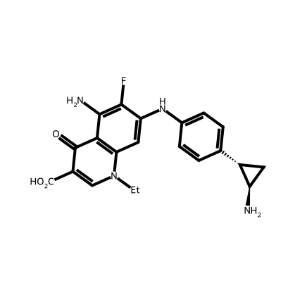 CCn1cc(C(=O)O)c(=O)c2c(N)c(F)c(Nc3ccc([C@@H]4C[C@H]4N)cc3)cc21